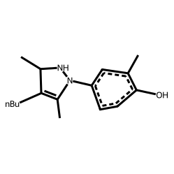 CCCCC1=C(C)N(c2ccc(O)c(C)c2)NC1C